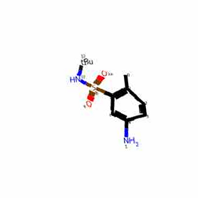 Cc1ccc(N)cc1S(=O)(=O)NC(C)(C)C